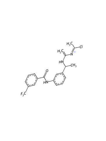 C=C(/N=C(\C)Cl)NC(C)c1cccc(NC(=O)c2cccc(C(F)(F)F)c2)c1